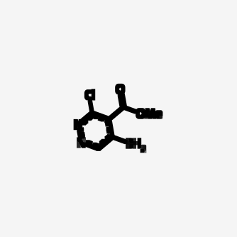 Bc1cnnc(Cl)c1C(=O)OC